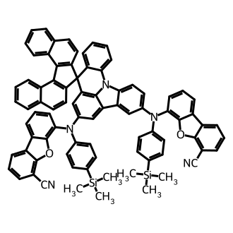 C[Si](C)(C)c1ccc(N(c2ccc3c(c2)c2cc(N(c4ccc([Si](C)(C)C)cc4)c4cccc5c4oc4c(C#N)cccc45)cc4c2n3-c2ccccc2C42c3ccc4ccccc4c3-c3c2ccc2ccccc32)c2cccc3c2oc2c(C#N)cccc23)cc1